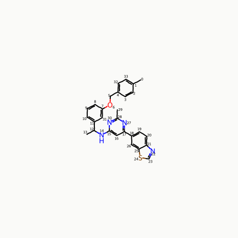 Cc1ccc(COc2cccc(C(C)Nc3cc(-c4ccc5ncsc5c4)nc(C)n3)c2)cc1